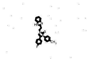 Cc1ccc(-n2c(-c3ccc(F)cc3)cn(CCc3nc4ccccc4[nH]3)c2=S)cc1